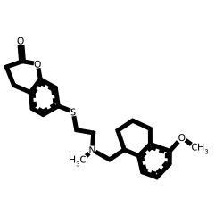 COc1cccc2c1CCCC2CN(C)CCSc1ccc2c(c1)OC(=O)CC2